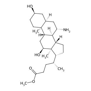 COC(=O)CC[C@@H](C)[C@H]1CC[C@H]2[C@@H]3[C@@H](N)C[C@@H]4C[C@H](O)CC[C@]4(C)[C@H]3C[C@H](O)[C@]12C